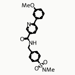 CNS(=O)(=O)c1ccc(CNC(=O)c2ccc(-c3cccc(OC)c3)nc2)cc1